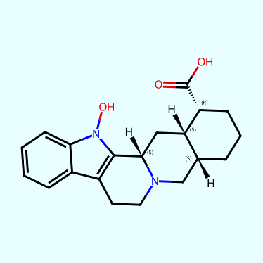 O=C(O)[C@@H]1CCC[C@@H]2CN3CCc4c(n(O)c5ccccc45)[C@@H]3C[C@@H]21